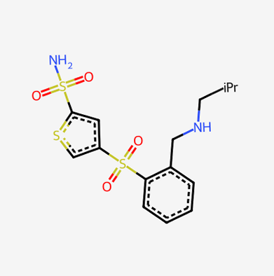 CC(C)CNCc1ccccc1S(=O)(=O)c1csc(S(N)(=O)=O)c1